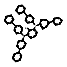 Clc1c(N(c2ccc(-c3ccccc3)cc2)c2ccc(-c3ccccc3)cc2)cccc1N(c1ccc(-c2ccccc2)cc1)c1ccc(-c2ccccc2)cc1